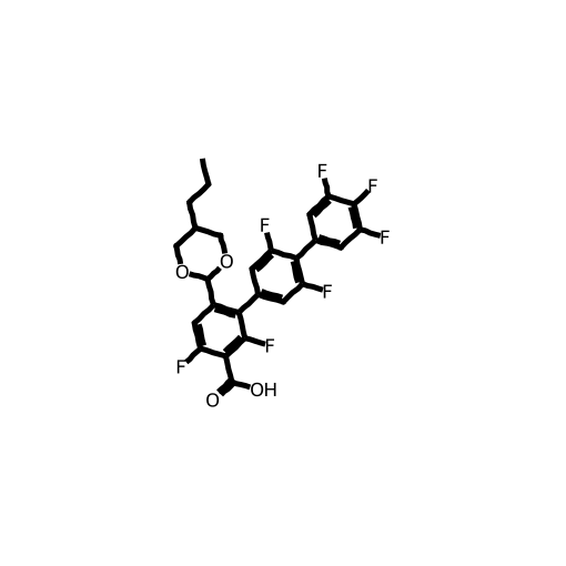 CCCC1COC(c2cc(F)c(C(=O)O)c(F)c2-c2cc(F)c(-c3cc(F)c(F)c(F)c3)c(F)c2)OC1